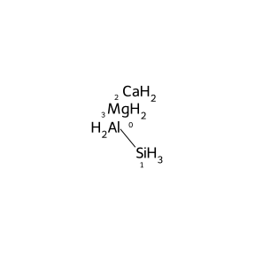 [AlH2][SiH3].[CaH2].[MgH2]